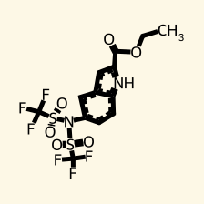 CCOC(=O)c1cc2cc(N(S(=O)(=O)C(F)(F)F)S(=O)(=O)C(F)(F)F)ccc2[nH]1